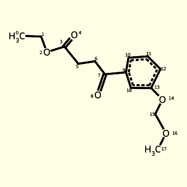 CCOC(=O)CCC(=O)c1cccc(OCOC)c1